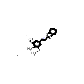 COc1cc(/C=C/c2nc3ccccc3s2)cc(OC)c1C